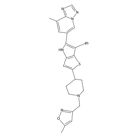 Cc1cc(CN2CCC(c3cc4[nH]c(-c5cc(C)c6ncnn6c5)c(C(C)C)c4s3)CC2)no1